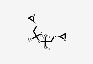 CC(C)(CC[C@@H]1CO1)OC(C)(C)CC[C@@H]1CO1